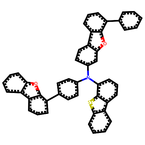 c1ccc(-c2cccc3c2oc2cc(N(c4ccc(-c5cccc6c5oc5ccccc56)cc4)c4cccc5c4sc4ccccc45)ccc23)cc1